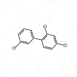 Clc1cccc(-c2[c]cc(Cl)cc2Cl)c1